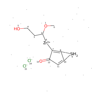 CO[CH](CCO)[Zr+2][C]1=C2[SiH2]C2=CC1=O.[Cl-].[Cl-]